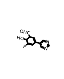 O=CC1C=C(c2cncnc2)C=C(F)C1O